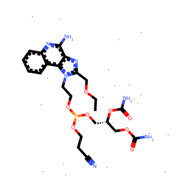 CCOCc1nc2c(N)nc3ccccc3c2n1CCOP(OCCC#N)OC[C@@H](COC(N)=O)OC(N)=O